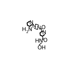 Nc1cccnc1N1CCN(C(=O)c2ccc(C(=O)NCCO)cn2)CC1